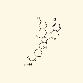 Cc1cc(Cl)ccc1C1c2c(nn(CC3(O)CCN(OC(=O)NC(C)C)CC3)c2C(C)C)C(=O)N1c1cc(Cl)ccc1C